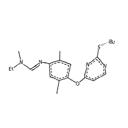 CC[C@@H](C)Sc1nccc(Oc2cc(C)c(/N=C/N(C)CC)cc2C)n1